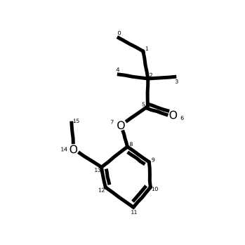 CCC(C)(C)C(=O)Oc1ccccc1OC